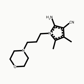 Cc1c(C#N)c(N)n(CCCN2CCOCC2)c1C